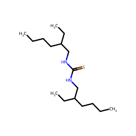 CCCCC(CC)CNC(=S)NCC(CC)CCCC